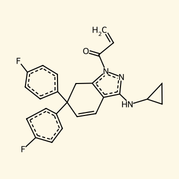 C=CC(=O)n1nc(NC2CC2)c2c1CC(c1ccc(F)cc1)(c1ccc(F)cc1)C=C2